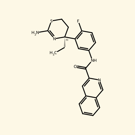 CC[C@@]1(c2cc(NC(=O)c3cc4ccccc4cn3)ccc2F)CCSC(N)=N1